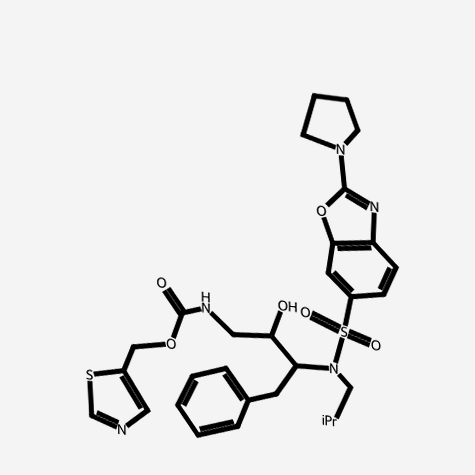 CC(C)CN(C(Cc1ccccc1)C(O)CNC(=O)OCc1cncs1)S(=O)(=O)c1ccc2nc(N3CCCC3)oc2c1